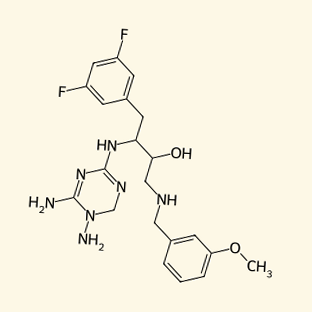 COc1cccc(CNCC(O)C(Cc2cc(F)cc(F)c2)NC2=NCN(N)C(N)=N2)c1